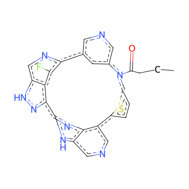 CCCC(=O)n1c2cncc(c2)c2ncc3[nH]nc(c4nc5c(cncc5c5ccc1s5)[nH]4)c3c2F